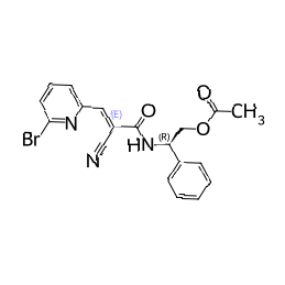 CC(=O)OC[C@H](NC(=O)/C(C#N)=C/c1cccc(Br)n1)c1ccccc1